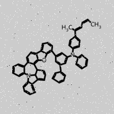 C/C=C\C=C(/C)c1ccc(N(c2ccccc2)c2cc(-c3ccccc3)cc(-c3cccc4c3oc3c5c(ccc34)-c3ccccc3N3c4ccccc4C4=CC=CC5C43)c2)cc1